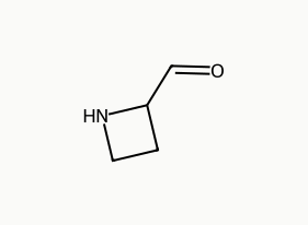 O=CC1CCN1